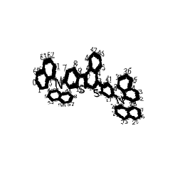 c1ccc2c(N(c3ccc4c(c3)sc3c5sc6cc(N(c7cccc8ccccc78)c7cccc8ccccc78)ccc6c5c5ccccc5c43)c3cccc4ccccc34)cccc2c1